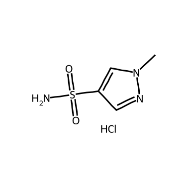 Cl.Cn1cc(S(N)(=O)=O)cn1